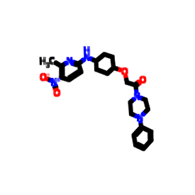 Cc1nc(NC2CCC(OCC(=O)N3CCN(c4ccccc4)CC3)CC2)ccc1[N+](=O)[O-]